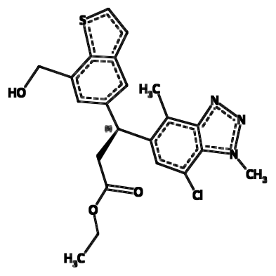 CCOC(=O)C[C@@H](c1cc(CO)c2sccc2c1)c1cc(Cl)c2c(nnn2C)c1C